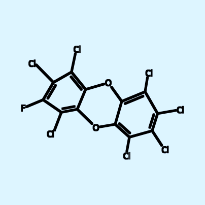 Fc1c(Cl)c(Cl)c2c(c1Cl)Oc1c(Cl)c(Cl)c(Cl)c(Cl)c1O2